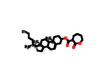 CC(C)CCC[C@@H](C)[C@H]1CCC2C3CC=C4CC(OC(=O)C5CCCCOC5=O)CC[C@]4(C)C3CC[C@@]21C